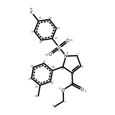 CCOC(=O)C1=CCN(S(=O)(=O)c2ccc(F)cc2)C1c1cccc(C)c1